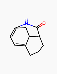 O=C1NC2=CC=C3CCCC1C3C2